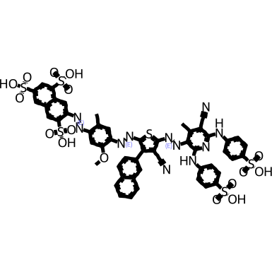 COc1cc(/N=N/c2cc3c(S(=O)(=O)O)cc(S(=O)(=O)O)cc3cc2S(=O)(=O)O)c(C)cc1/N=N/c1sc(/N=N/c2c(Nc3ccc(S(=O)(=O)O)cc3)nc(Nc3ccc(S(=O)(=O)O)cc3)c(C#N)c2C)c(C#N)c1-c1ccc2ccccc2c1